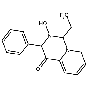 O=C1C2=CC=CCN2C(CC(F)(F)F)N(O)C1c1ccccc1